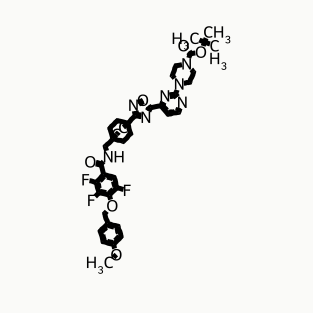 COc1ccc(COc2c(F)cc(C(=O)NCC34CCC(c5noc(-c6ccnc(N7CCN(C(=O)OC(C)(C)C)CC7)n6)n5)(CC3)CC4)c(F)c2F)cc1